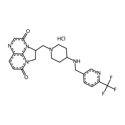 Cl.O=c1ccc2ncc(=O)n3c2n1CC3CN1CCC(NCc2ccc(C(F)(F)F)nc2)CC1